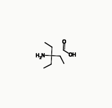 CCC(N)(CC)CC.O=CO